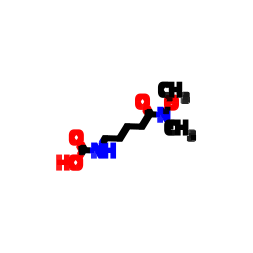 CON(C)C(=O)CCCCNC(=O)O